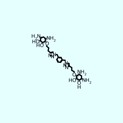 N[C@@H]1C[C@H](N)[C@@H](OCCCc2cn(Cc3cccc(Cn4cc(CCCO[C@H]5[C@H](O)[C@@H](O)[C@H](N)C[C@@H]5N)nn4)c3)nn2)[C@H](O)[C@H]1O